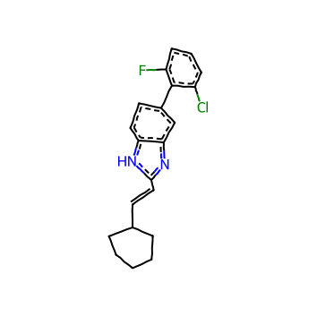 Fc1cccc(Cl)c1-c1ccc2[nH]c(C=CC3CCCCC3)nc2c1